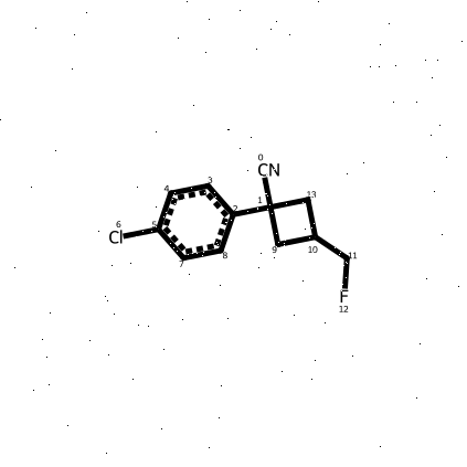 N#CC1(c2ccc(Cl)cc2)CC(CF)C1